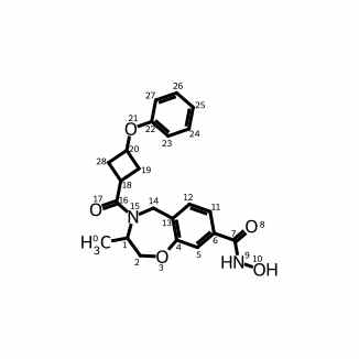 CC1COc2cc(C(=O)NO)ccc2CN1C(=O)C1CC(Oc2ccccc2)C1